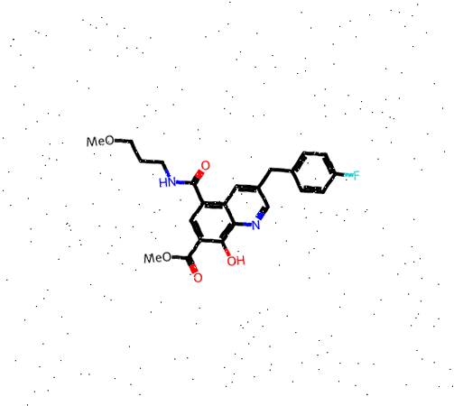 COCCCNC(=O)c1cc(C(=O)OC)c(O)c2ncc(Cc3ccc(F)cc3)cc12